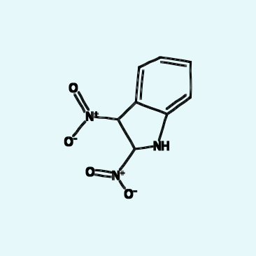 O=[N+]([O-])C1Nc2ccccc2C1[N+](=O)[O-]